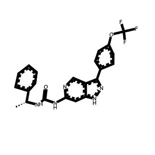 C[C@@H](NC(=O)Nc1cc2[nH]nc(-c3ccc(OC(F)(F)F)cc3)c2cn1)c1ccccc1